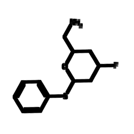 NCC1CC(F)CC(Sc2ccccc2)O1